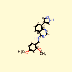 COc1ccc(CNc2ncnc3c(-c4cn[nH]c4)cccc23)c(OC)c1